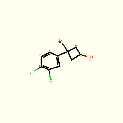 N#CC1(c2ccc(F)c(Cl)c2)CC(O)C1